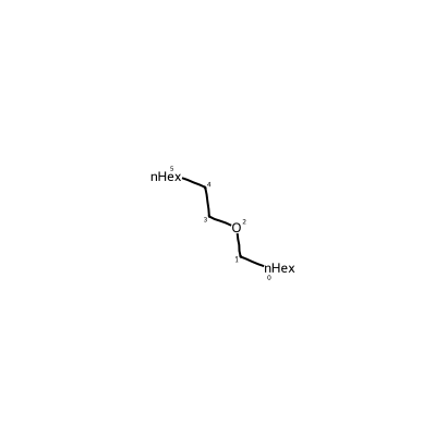 CCCCCC[CH]OCCCCCCCC